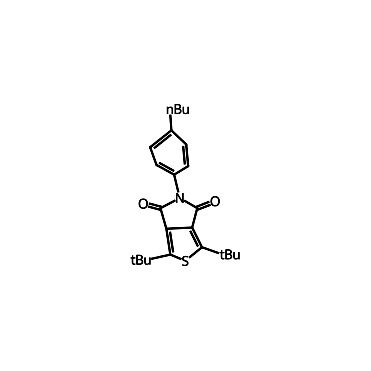 CCCCc1ccc(N2C(=O)c3c(C(C)(C)C)sc(C(C)(C)C)c3C2=O)cc1